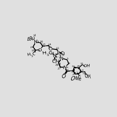 COc1cc(C(=O)N2CCN(P(=O)(COCC3CN(C(C)(C)C)CC(C)O3)N(C)C)CC2)cc(CO)c1CO